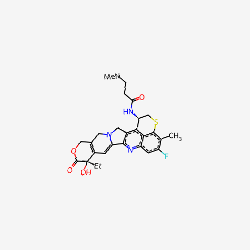 CC[C@@]1(O)C(=O)OCC2=C1C=C1c3nc4cc(F)c(C)c5c4c(c3CN1C2)[C@@H](NC(=O)CCNC)CS5